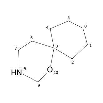 C1CCC2(CC1)CCNCO2